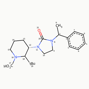 CC(c1ccccc1)N1CCN([C@H]2CCCN(C(=O)O)C2C(C)(C)C)C1=O